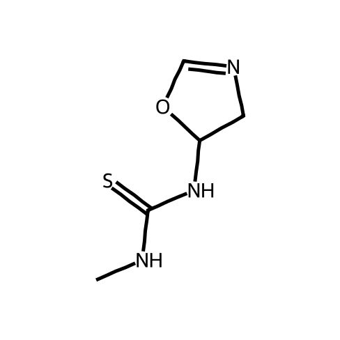 CNC(=S)NC1CN=CO1